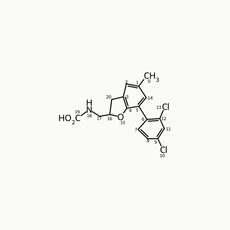 Cc1cc2c(c(-c3ccc(Cl)cc3Cl)c1)OC(CNC(=O)O)C2